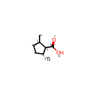 CC1CCCC1C(=O)O.[Tl]